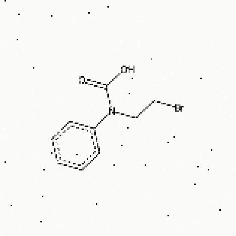 O=C(O)N(CCBr)c1ccccc1